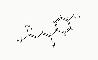 CC(C)=CC=C(Cl)c1ccc(C)cc1